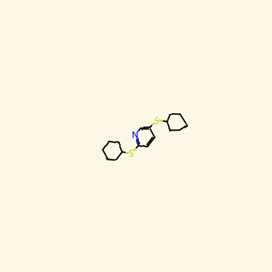 c1cc(SC2CCCCC2)ncc1SC1CCCCC1